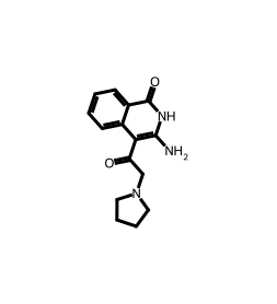 Nc1[nH]c(=O)c2ccccc2c1C(=O)CN1CCCC1